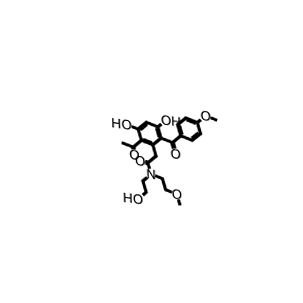 COCCN(CCO)C(=O)Cc1c(C(C)=O)c(O)cc(O)c1C(=O)c1ccc(OC)cc1